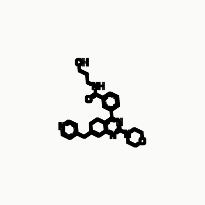 O=C(NCCCO)c1cccc(-c2nc(N3CCOCC3)nc3c2CCC(Cc2ccncc2)=C3)c1